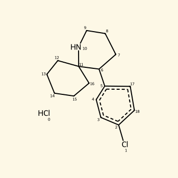 Cl.Clc1ccc(C2CCCNC23CCCCC3)cc1